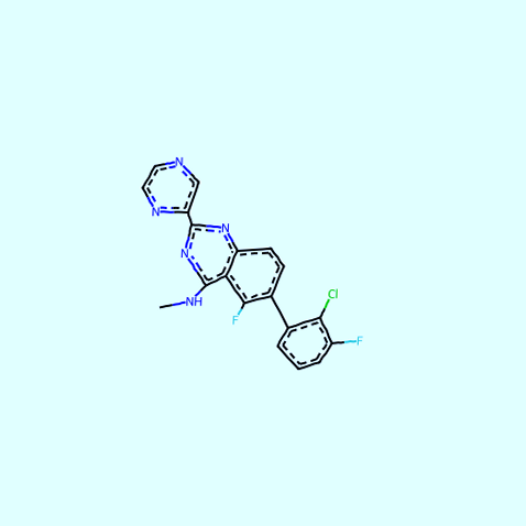 CNc1nc(-c2cnccn2)nc2ccc(-c3cccc(F)c3Cl)c(F)c12